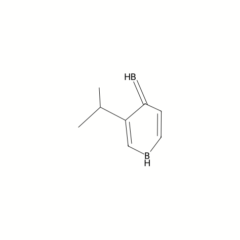 B=C1C=CBC=C1C(C)C